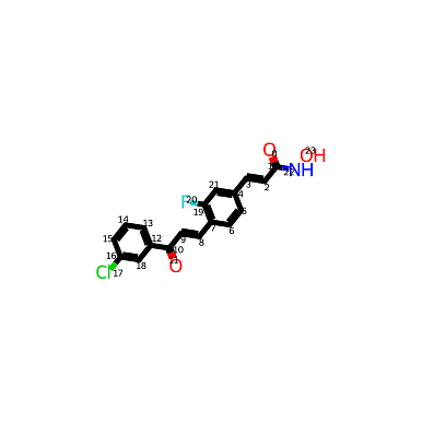 O=C(C=Cc1ccc(C=CC(=O)c2cccc(Cl)c2)c(F)c1)NO